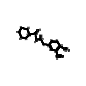 COc1cc(CNOC(=O)N2CCCCC2)ccc1N